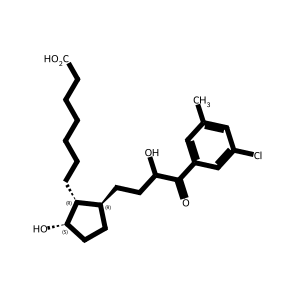 Cc1cc(Cl)cc(C(=O)C(O)CC[C@H]2CC[C@H](O)[C@@H]2CCCCCCC(=O)O)c1